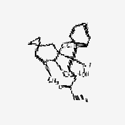 CN1CC2(CC2)CC(C(=O)O)(C(CCC(N)=O)(NO)c2ccccc2)C1C(=O)O